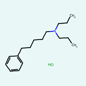 CCCN(CCC)CCCCCc1ccccc1.Cl